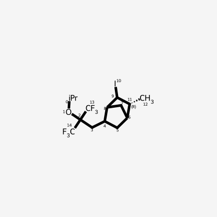 CC(C)OC(CC1CC2CC1C(I)[C@@H]2C)(C(F)(F)F)C(F)(F)F